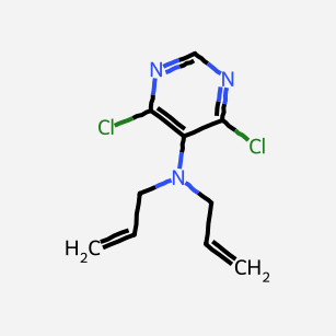 C=CCN(CC=C)c1c(Cl)ncnc1Cl